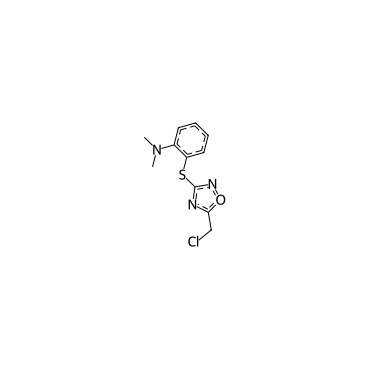 CN(C)c1ccccc1Sc1noc(CCl)n1